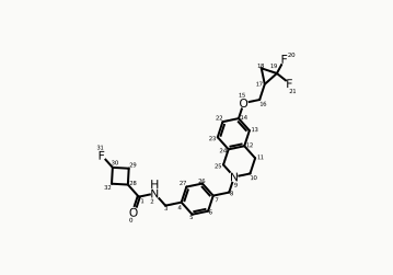 O=C(NCc1ccc(CN2CCc3cc(OCC4CC4(F)F)ccc3C2)cc1)C1CC(F)C1